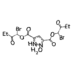 CCC(=O)C(Br)OC(=O)c1cc(C(=O)OC(Br)C(=O)CC)[nH]n1.O